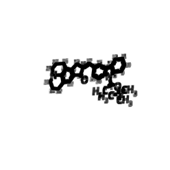 C=C(O[Si](C)(C)C)n1c2ccccc2c2cc(/C=C3/Cc4c(cc5c6c4CCCN6CCC5)C3=O)ccc21